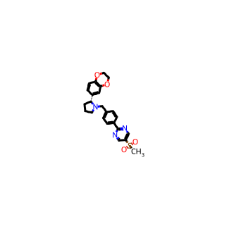 CS(=O)(=O)c1cnc(-c2ccc(CN3CCC[C@@H]3c3ccc4c(c3)OCCO4)cc2)nc1